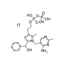 Cc1ncc(C[n+]2c(C(O)c3ccccc3)sc(CCOP(=O)(O)OP(=O)(O)O)c2C)c(N)n1.[Cl-]